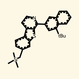 CC(C)(C)c1cc(-c2nccc3c2sc2cc(C[Si](C)(C)C)ccc23)cc2ccccc12